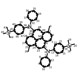 Cc1ccc2c(N(c3ccccc3)c3ccc([Si](C)(C)C)cc3)cc3c(C)ccc4c(N(c5ccccc5)c5ccc([Si](C)(C)C)cc5)cc1c2c34